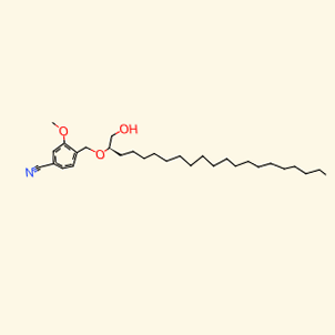 CCCCCCCCCCCCCCCCCCC[C@H](CO)OCc1ccc(C#N)cc1OC